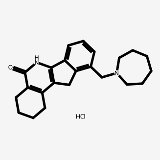 Cl.O=c1[nH]c2c(c3c1CCCC3)Cc1c(CN3CCCCCC3)cccc1-2